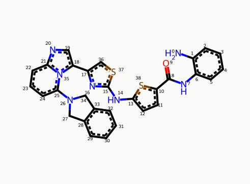 Nc1ccccc1NC(=O)c1ccc(Nc2nc(-c3cnc4cccc(N5Cc6ccccc6C5)n34)cs2)s1